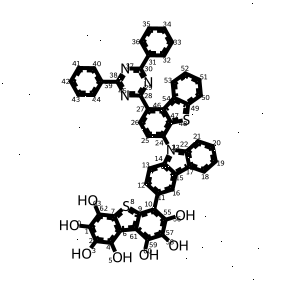 Oc1c(O)c(O)c2c(sc3c(-c4ccc5c(c4)c4ccccc4n5-c4ccc(-c5nc(-c6ccccc6)nc(-c6ccccc6)n5)c5c4sc4ccccc45)c(O)c(O)c(O)c32)c1O